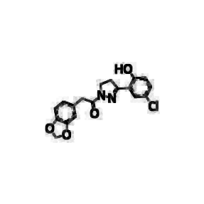 O=C(Cc1ccc2c(c1)OCO2)N1CCC(c2cc(Cl)ccc2O)=N1